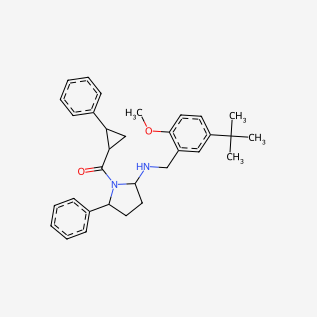 COc1ccc(C(C)(C)C)cc1CNC1CCC(c2ccccc2)N1C(=O)C1CC1c1ccccc1